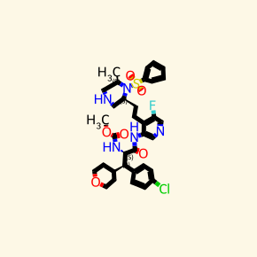 COC(=O)N[C@H](C(=O)Nc1cncc(F)c1CC[C@H]1CNC[C@H](C)N1S(=O)(=O)c1ccccc1)[C@@H](c1ccc(Cl)cc1)C1CCOCC1